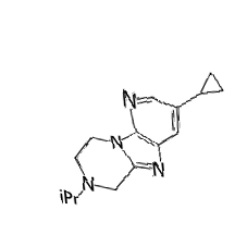 CC(C)N1CCn2c(nc3cc(C4CC4)cnc32)C1